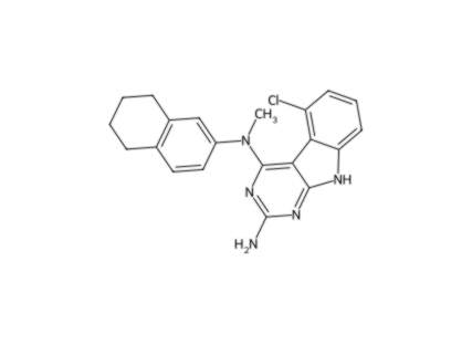 CN(c1ccc2c(c1)CCCC2)c1nc(N)nc2[nH]c3cccc(Cl)c3c12